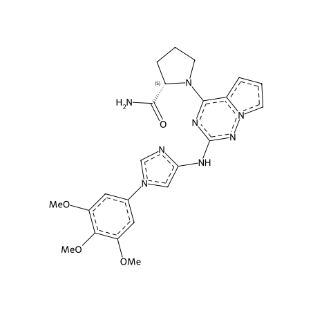 COc1cc(-n2cnc(Nc3nc(N4CCC[C@H]4C(N)=O)c4cccn4n3)c2)cc(OC)c1OC